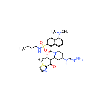 CCCCNS(=O)(=O)c1ccc2c(N(C)C)cccc2c1C(=O)N1CCC(NC=NN)CC1C(CC)C(=O)c1nccs1